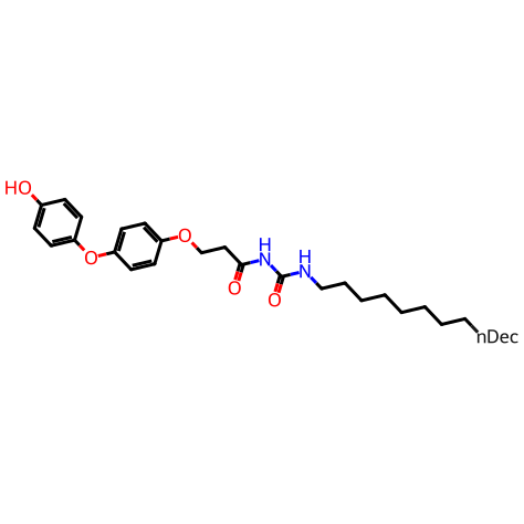 CCCCCCCCCCCCCCCCCCNC(=O)NC(=O)CCOc1ccc(Oc2ccc(O)cc2)cc1